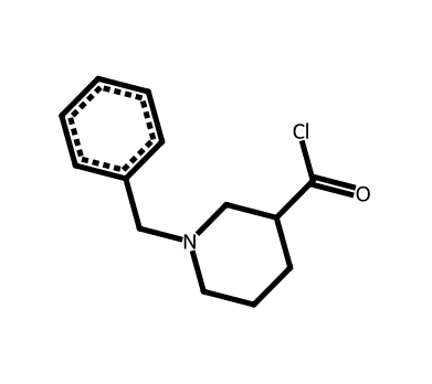 O=C(Cl)C1CCCN(Cc2ccccc2)C1